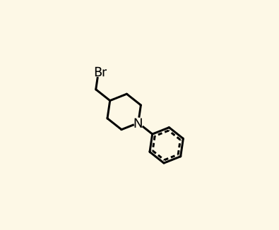 BrCC1CCN(c2ccccc2)CC1